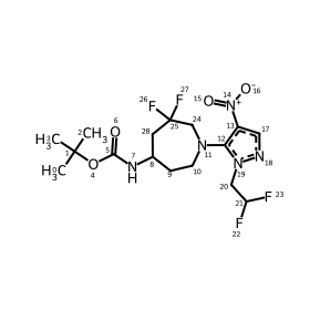 CC(C)(C)OC(=O)NC1CCN(c2c([N+](=O)[O-])cnn2CC(F)F)CC(F)(F)C1